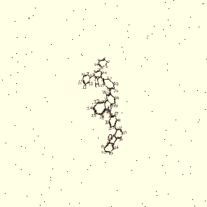 C1=CCCC(C2=CC(C3C=CC=CC3)NC(C3=CC(C4=CC5c6ccccc6N(c6ccc(-c7cccc8c7oc7ccccc78)cc6)C5C=C4)=CCC3)=C2)=C1